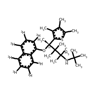 [2H]c1c([2H])c([2H])c2c(O[C@](C)(c3sc(C)c(C)c3C)C(C)(C)C(C)(C)NC(C)(C)C)c([2H])c([2H])c([2H])c2c1[2H]